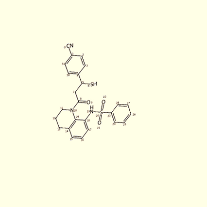 N#Cc1ccc(C(S)CC(=O)N2CCCc3cccc(NS(=O)(=O)c4ccccc4)c32)cc1